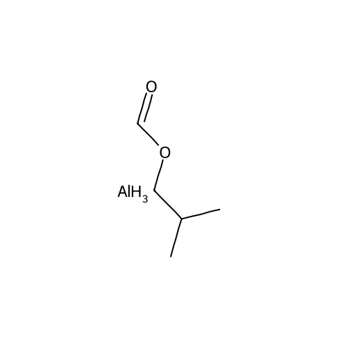 CC(C)COC=O.[AlH3]